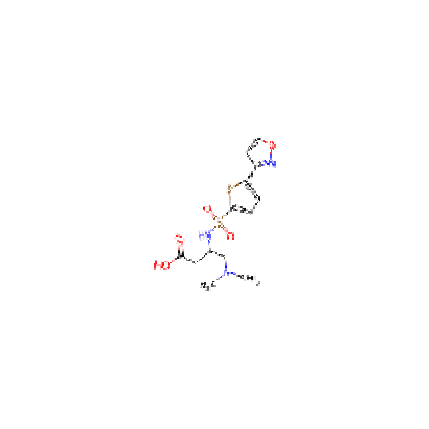 CN(C)CC(CC(=O)O)NS(=O)(=O)c1ccc(-c2ccon2)s1